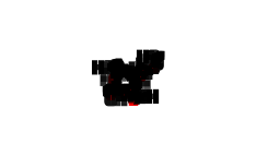 CCC(O)OCC(C)COc1c(F)c(F)c(-c2c3nc(c(-c4cccc(O)c4)c4ccc([nH]4)c(-c4cccc(O)c4)c4nc(c(-c5cccc(O)c5)c5ccc2[nH]5)C=C4)C=C3)c(F)c1F